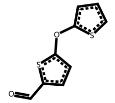 O=Cc1ccc(Oc2cccs2)s1